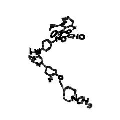 CN1CCC(COc2ccc(-c3cc(Nc4ccc(N(OC=O)S(=O)(=O)c5c(F)cccc5F)cc4)ncn3)cc2F)CC1